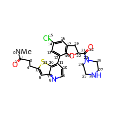 CNC(=O)CCc1cc2nccc(-c3cc(Cl)cc4c3OC(C(=O)N3CCNCC3)C4)c2s1